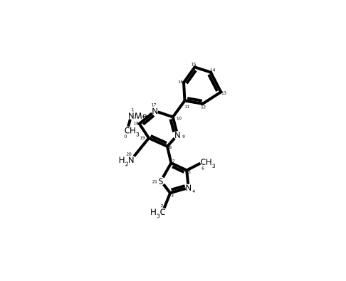 CNC.Cc1nc(C)c(-c2nc(-c3ccccc3)ncc2N)s1